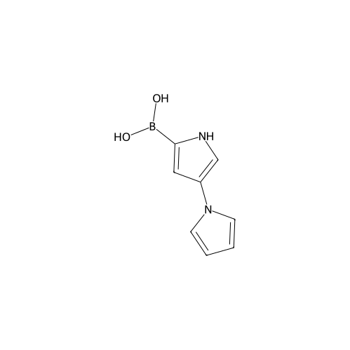 OB(O)c1cc(-n2cccc2)c[nH]1